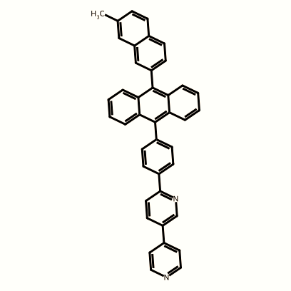 Cc1ccc2ccc(-c3c4ccccc4c(-c4ccc(-c5ccc(-c6ccncc6)cn5)cc4)c4ccccc34)cc2c1